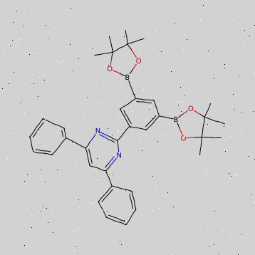 CC1(C)OB(c2cc(B3OC(C)(C)C(C)(C)O3)cc(-c3nc(-c4ccccc4)cc(-c4ccccc4)n3)c2)OC1(C)C